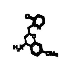 COc1ccc2c(c1)O[C@H](Cn1ncccc1=O)C[C@@H]2N